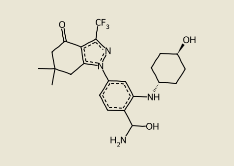 CC1(C)CC(=O)c2c(C(F)(F)F)nn(-c3ccc(C(N)O)c(N[C@H]4CC[C@H](O)CC4)c3)c2C1